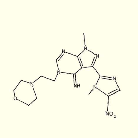 Cn1c([N+](=O)[O-])cnc1-c1nn(C)c2ncn(CCN3CCOCC3)c(=N)c12